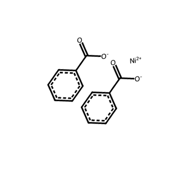 O=C([O-])c1ccccc1.O=C([O-])c1ccccc1.[Ni+2]